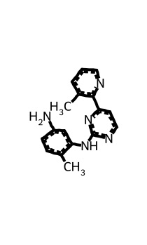 Cc1ccc(N)cc1Nc1nccc(-c2ncccc2C)n1